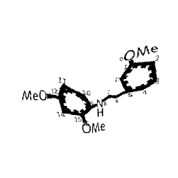 COc1cccc(CCNc2ccc(OC)cc2OC)c1